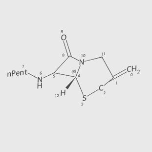 C=C1CS[C@@H]2C(NCCCCC)C(=O)N2C1